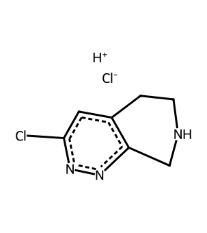 Clc1cc2c(nn1)CNCC2.[Cl-].[H+]